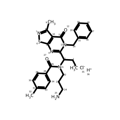 CCC(c1nc2snc(C)c2c(=O)n1Cc1ccccc1)N(CCCN)C(=O)c1ccc(C)cc1.[Cl-].[H+]